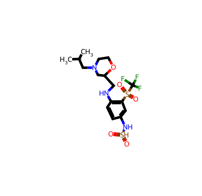 C[C](C)CN1CCOC(CNc2ccc(N[SH](=O)=O)cc2S(=O)(=O)C(F)(F)F)C1